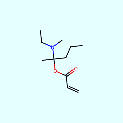 C=CC(=O)OC(C)(CCC)N(C)CC